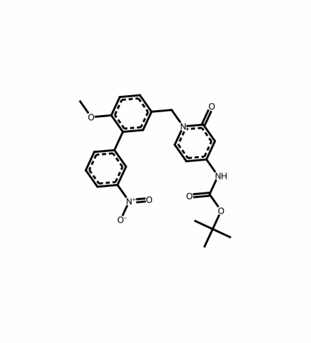 COc1ccc(Cn2ccc(NC(=O)OC(C)(C)C)cc2=O)cc1-c1cccc([N+](=O)[O-])c1